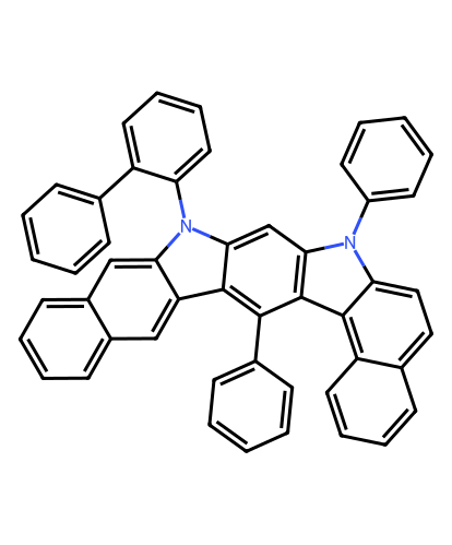 c1ccc(-c2ccccc2-n2c3cc4ccccc4cc3c3c(-c4ccccc4)c4c5c6ccccc6ccc5n(-c5ccccc5)c4cc32)cc1